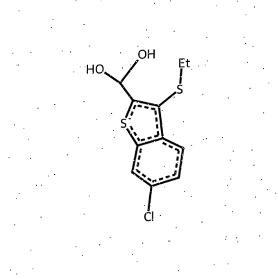 CCSc1c(C(O)O)sc2cc(Cl)ccc12